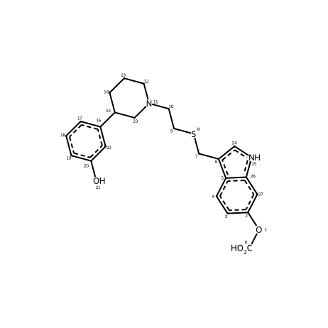 O=C(O)Oc1ccc2c(CSCCN3CCCC(c4cccc(O)c4)C3)c[nH]c2c1